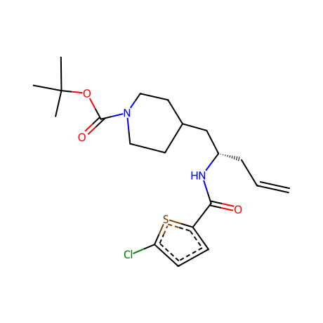 C=CC[C@@H](CC1CCN(C(=O)OC(C)(C)C)CC1)NC(=O)c1ccc(Cl)s1